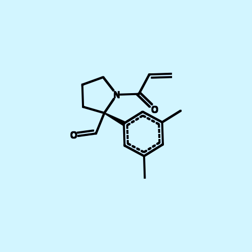 C=CC(=O)N1CCC[C@]1(C=O)c1cc(C)cc(C)c1